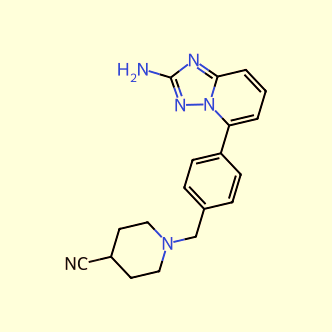 N#CC1CCN(Cc2ccc(-c3cccc4nc(N)nn34)cc2)CC1